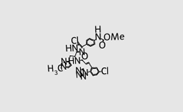 COC(=O)Nc1ccc(-c2nc(C(Cc3ccn(C)n3)NC(=O)C=Cc3cc(Cl)ccc3-n3cnnn3)[nH]c2Cl)cc1